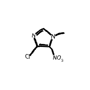 Cn1cnc(Cl)c1[N+](=O)[O-]